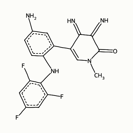 CN1C=C(c2cc(N)ccc2Nc2c(F)cc(F)cc2F)C(=N)C(=N)C1=O